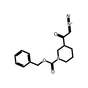 [N-]=[N+]=CC(=O)C1CCCN(C(=O)OCc2ccccc2)C1